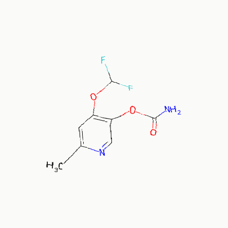 Cc1cc(OC(F)F)c(OC(N)=O)cn1